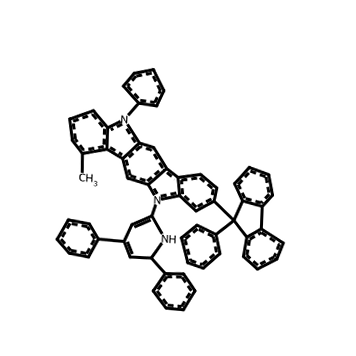 Cc1cccc2c1c1cc3c(cc1n2-c1ccccc1)c1ccc(C2(c4ccccc4)c4ccccc4-c4ccccc42)cc1n3C1=CC(c2ccccc2)=CC(c2ccccc2)N1